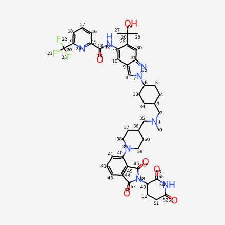 CN(CC1CCC(n2cc3cc(NC(=O)c4cccc(C(F)(F)F)n4)c(C(C)(C)O)cc3n2)CC1)CC1CCN(c2cccc3c2C(=O)N(C2CCC(=O)NC2=O)C3=O)CC1